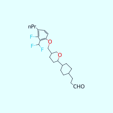 CCCc1ccc(OCC2CCC(C3CCC(CCC=O)CC3)OC2)c(C(F)F)c1F